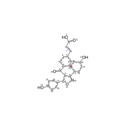 O=C(O)/C=C/c1ccc(C(=O)c2c(-c3ccc(O)cc3)noc2-c2ccc(O)cc2)cc1